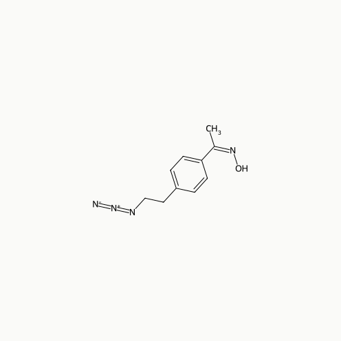 C/C(=N/O)c1ccc(CCN=[N+]=[N-])cc1